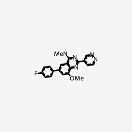 CNc1nc(-c2ccnnc2)nc2c(OC)cc(-c3ccc(F)cc3)cc12